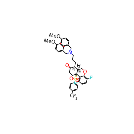 COc1ccc(CN(CCC[C@@H]2C(=O)CC[C@@]3(S(=O)(=O)c4ccc(C(F)(F)F)cc4)c4c(F)ccc(F)c4OC[C@@H]23)Cc2ccc(OC)cc2)cc1